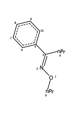 CCCO/N=C(\CCC)c1ccccc1